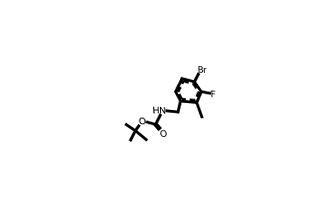 Cc1c(CNC(=O)OC(C)(C)C)ccc(Br)c1F